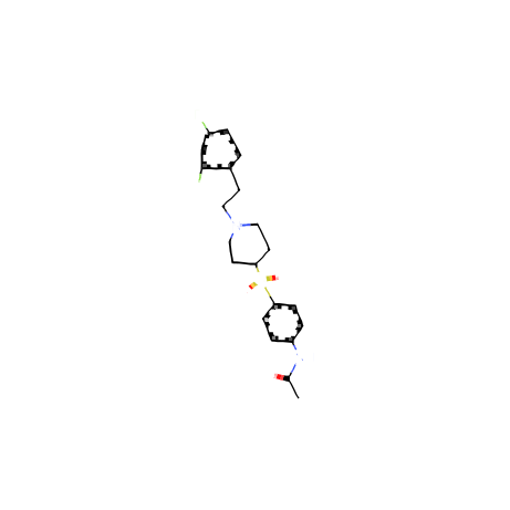 CC(=O)Nc1ccc(S(=O)(=O)C2CCN(CCc3ccc(F)cc3F)CC2)cc1